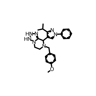 COc1ccc(CN2CCN3NNN=C3C2c2cn(-c3ccccc3)nc2C(C)C)cc1